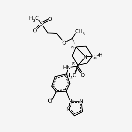 CC(OCCS(C)(=O)=O)[C@]12C[C@H](C)C[C@H](C1)N2C(=O)Nc1ccc(Cl)c(-n2nccn2)c1